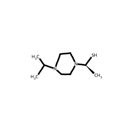 CC(C)N1CCN([C@H](C)S)CC1